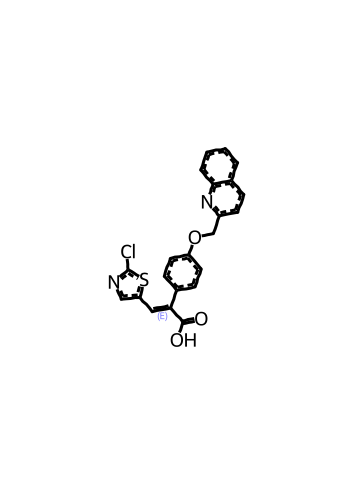 O=C(O)/C(=C/c1cnc(Cl)s1)c1ccc(OCc2ccc3ccccc3n2)cc1